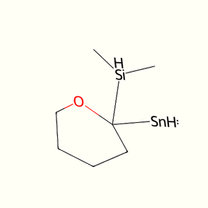 C[SiH](C)[C]1([SnH])CCCCO1